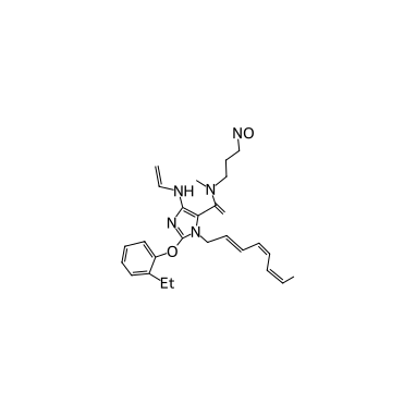 C=CNc1nc(Oc2ccccc2CC)n(C/C=C/C=C\C=C/C)c1C(=C)N(C)CCCN=O